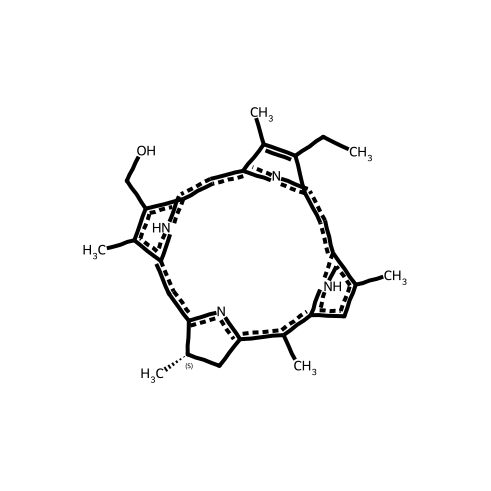 CCC1=C(C)c2cc3[nH]c(cc4nc(c(C)c5cc(C)c(cc1n2)[nH]5)C[C@@H]4C)c(C)c3CO